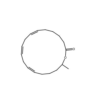 CC1CCC/C=C\C/C=C\C/C=C\CCCCC(=O)O1